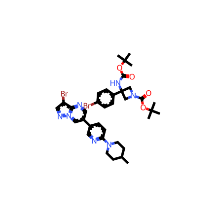 CC(C)(C)OC(=O)NC1(c2ccc(Br)cc2)CN(C(=O)OC(C)(C)C)C1.CC1CCN(c2ccc(-c3cnc4c(Br)cnn4c3)cn2)CC1